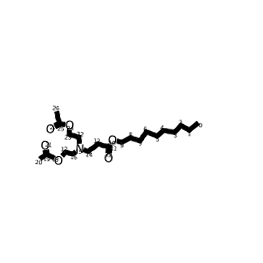 CCCCCCCCCCOC(=O)CCN(CCOC(C)=O)CCOC(C)=O